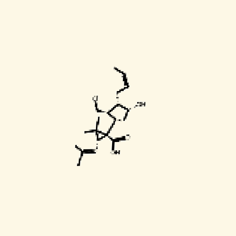 C/C=C\C[C@H]1[C@H](CCl)[C@@H]([C@]2(C(=O)O)[C@H](C=C(C)C)C2(C)C)C[C@H]1O